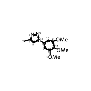 COc1cc(-n2cc(C)nn2)cc(OC)c1OC